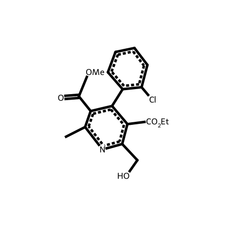 CCOC(=O)c1c(CO)nc(C)c(C(=O)OC)c1-c1ccccc1Cl